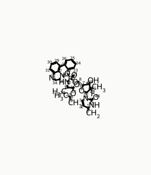 C=C1C=CN([C@@H]2O[C@H](COP(=O)(N[C@@H](C)C(=O)OC(C)C)Oc3ccccc3-c3cccc4nccnc34)[C@@H](O)[C@@]2(C)F)C(=O)N1